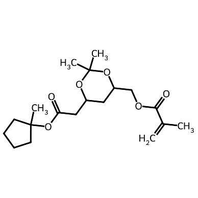 C=C(C)C(=O)OCC1CC(CC(=O)OC2(C)CCCC2)OC(C)(C)O1